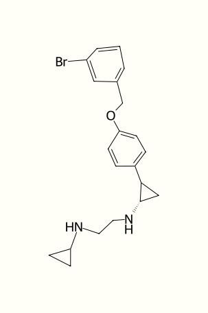 Brc1cccc(COc2ccc(C3C[C@@H]3NCCNC3CC3)cc2)c1